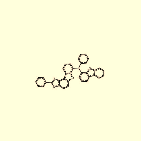 c1ccc(-c2nc3ccc4oc5c(N(c6ccccc6)c6cccc7c6sc6ccccc67)cccc5c4c3s2)cc1